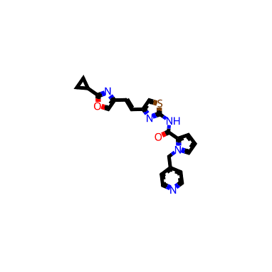 O=C(Nc1nc(C=Cc2coc(C3CC3)n2)cs1)c1cccn1Cc1ccncc1